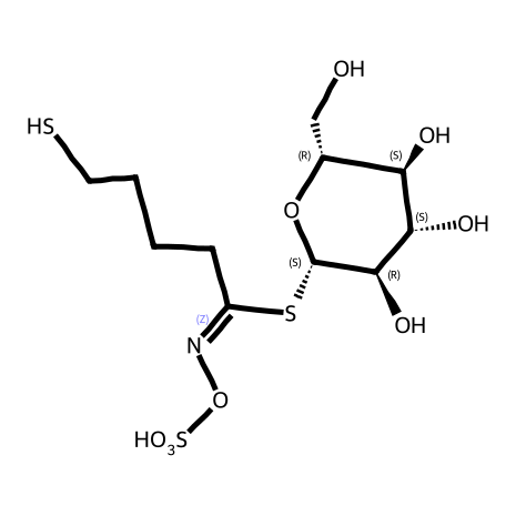 O=S(=O)(O)O/N=C(/CCCCS)S[C@@H]1O[C@H](CO)[C@@H](O)[C@H](O)[C@H]1O